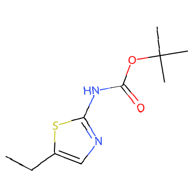 CCc1cnc(NC(=O)OC(C)(C)C)s1